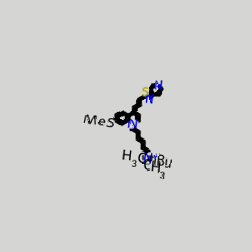 CCCC[N+](C)(C)CCCCCCN1C=CC(=CC=Cc2nc3ccncc3s2)c2ccc(SC)cc21